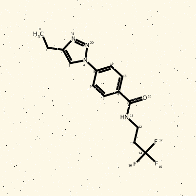 CCc1cn(-c2ccc(C(=O)NCCC(F)(F)F)cc2)nn1